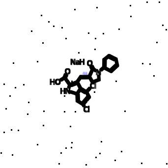 O=C(O)c1[nH]c2cc(Cl)cc(Cl)c2c1/C=C1\CCN(c2ccccc2)C1=O.[NaH]